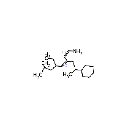 CCC(/C=C(\C=C/N)CC(C)C1CCCCC1)CC(C)C